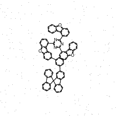 c1cc(-c2ccc3c(c2)C2(c4ccccc4-c4ccccc42)c2ccccc2-3)cc(-c2ccc3oc4cccc(-c5nc(-c6cccc7oc8ccccc8c67)nc(-c6cccc7oc8ccccc8c67)n5)c4c3c2)c1